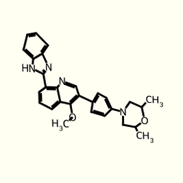 COc1c(-c2ccc(N3CC(C)OC(C)C3)cc2)cnc2c(-c3nc4ccccc4[nH]3)cccc12